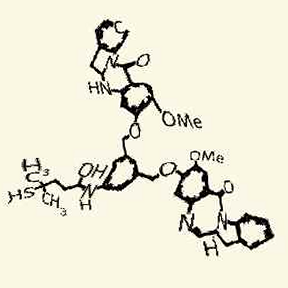 COc1cc2c(cc1OCc1cc(COc3cc4c(cc3OC)C(=O)N3c5ccccc5CC3N4)cc(NC(O)CCC(C)(C)S)c1)N=C[C@@H]1Cc3ccccc3N1C2=O